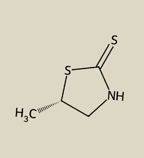 C[C@H]1CNC(=S)S1